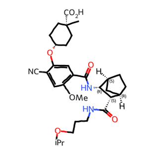 COc1cc(C#N)c(O[C@H]2CC[C@@](C)(C(=O)O)CC2)cc1C(=O)N[C@@H]1[C@H]2CC[C@H](C2)[C@@H]1C(=O)NCCCOC(C)C